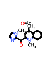 CC(=O)[O-].Cc1cc(C(=O)c2nccn2C)[n+](C)c2ccccc12